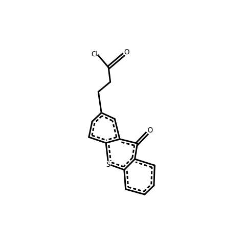 O=C(Cl)CCc1ccc2sc3ccccc3c(=O)c2c1